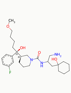 COCCCC[C@@](O)(c1cccc(F)c1)[C@@H]1CCCN(C(=O)NC(CN)CC2(O)CCCCC2)C1